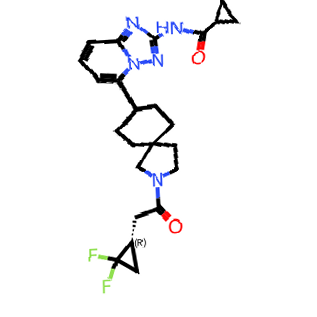 O=C(Nc1nc2cccc(C3CCC4(CC3)CCN(C(=O)C[C@@H]3CC3(F)F)C4)n2n1)C1CC1